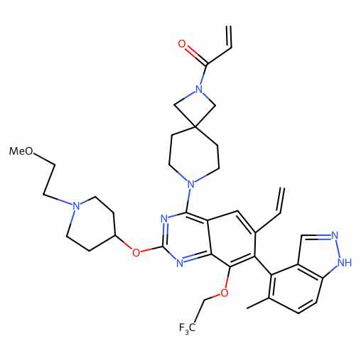 C=CC(=O)N1CC2(CCN(c3nc(OC4CCN(CCOC)CC4)nc4c(OCC(F)(F)F)c(-c5c(C)ccc6[nH]ncc56)c(C=C)cc34)CC2)C1